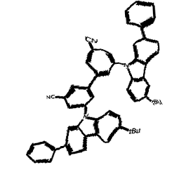 CC(C)(C)c1ccc2c(c1)c1ccc(-c3ccccc3)cc1n2-c1cc(C#N)cc(-c2cc(C#N)cc(-n3c4ccc(C(C)(C)C)cc4c4ccc(-c5ccccc5)cc43)c2)c1